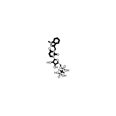 Cn1nc(Cn2c(=O)ccn([C@@H]3O[C@H](COP(=O)(O)C(F)(F)P(=O)(O)O)C(O)C3O)c2=O)c2ccccc21